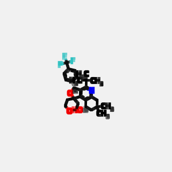 CC1(C)Cc2nc(C(C)(C)C)c3c(c2[C@@H](O)C1)C1(CCOCC1)O[C@@H]3c1ccc(C(F)(F)F)cc1